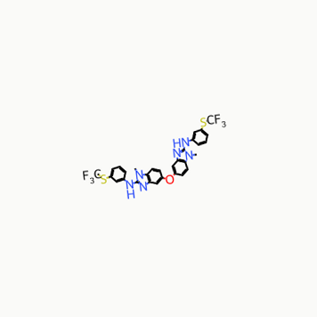 Cn1c(Nc2cccc(SC(F)(F)F)c2)nc2cc(Oc3ccc4c(c3)nc(Nc3cccc(SC(F)(F)F)c3)n4C)ccc21